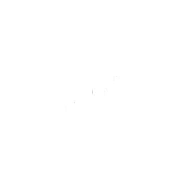 O=POCCl